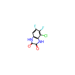 O=c1[nH]c2cc(F)c(F)c(Cl)c2[nH]c1=O